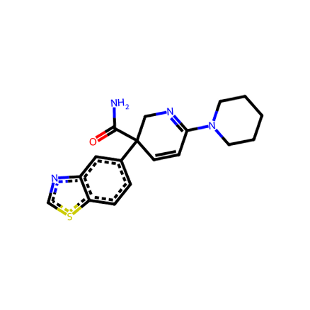 NC(=O)C1(c2ccc3scnc3c2)C=CC(N2CCCCC2)=NC1